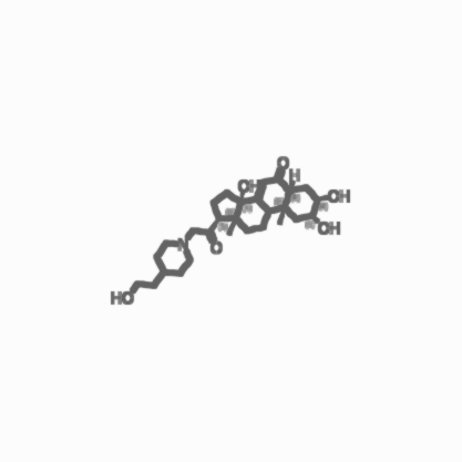 C[C@]12C[C@H](O)[C@H](O)C[C@H]1C(=O)C=C1C2CC[C@]2(C)[C@@H](C(=O)CN3CCC(CCO)CC3)CC[C@@]12O